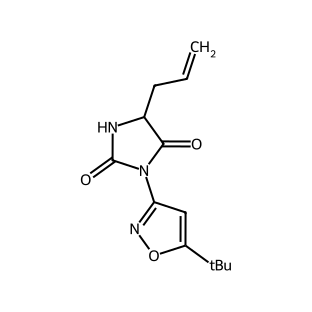 C=CCC1NC(=O)N(c2cc(C(C)(C)C)on2)C1=O